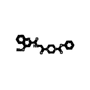 COc1cc(C(=O)NCC(=O)N2CCN(C(=O)Oc3ccccc3)CC2)nc2ccccc12